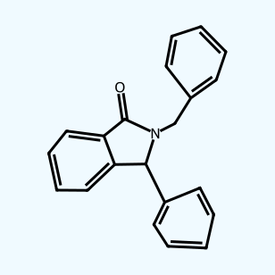 O=C1c2ccccc2C(c2ccccc2)N1Cc1ccccc1